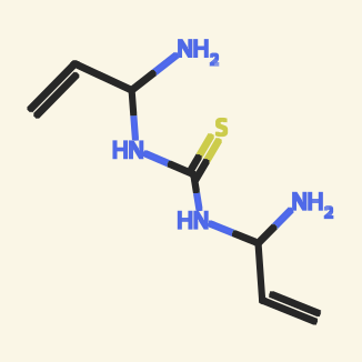 C=CC(N)NC(=S)NC(N)C=C